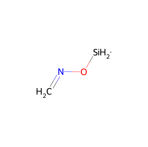 C=NO[SiH2]